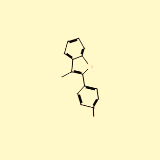 Cc1c(-c2ccc(C(F)(F)F)cc2)[nH]c2ccccc12